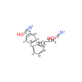 CC.N#CO.N#CO.c1ccccc1.c1ccccc1